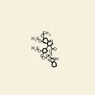 COc1ccc(-c2c(C(=O)OC[S+]([O-])c3nc4ccccc4[nH]3)cnc3cc(OC)c(OC)cc23)cc1OC